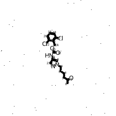 CC(=O)CCCCn1cc(NC(=O)OCc2c(Cl)cccc2Cl)cn1